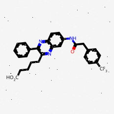 O=C(O)CCCCc1nc2cc(NC(=O)Cc3ccc(C(F)(F)F)cc3)ccc2nc1-c1ccccc1